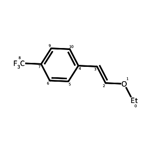 CCO/C=C/c1ccc(C(F)(F)F)cc1